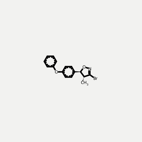 C[C@H]1C(Br)=NO[C@@H]1c1ccc(Oc2ccccc2)cc1